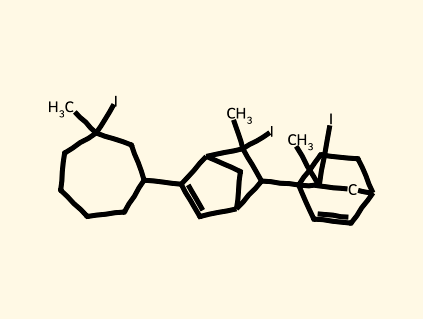 CC1(I)CCCCC(C2=CC3CC2C(C)(I)C3C23C=CC(CC2)CC3(C)I)C1